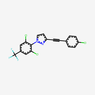 FC(F)(F)c1cc(Cl)c(-n2ccc(C#Cc3ccc(Cl)cc3)n2)c(Cl)c1